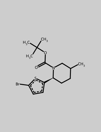 CC1CC[C@@H](c2ccc(Br)s2)N(C(=O)OC(C)(C)C)C1